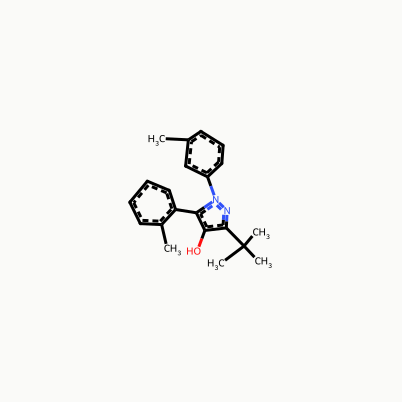 Cc1cccc(-n2nc(C(C)(C)C)c(O)c2-c2ccccc2C)c1